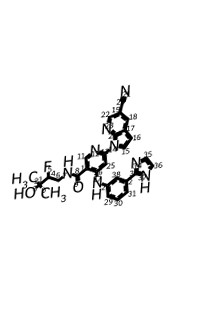 CC(C)(O)C(F)CNC(=O)c1cnc(-n2ccc3cc(C#N)cnc32)cc1Nc1cccc(-c2ncc[nH]2)c1